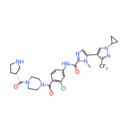 Cn1c(-c2cn(C3CC3)nc2C(F)(F)F)cnc1C(=O)Nc1ccc(C(=O)N2CCN(C(=O)[C@@H]3CCNC3)CC2)c(Cl)c1